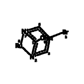 Oc1[n+]2cc(Br)c[n+]1[Ru]2